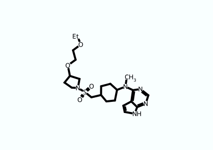 CCOCCOC1CCN(S(=O)(=O)CC2CCC(N(C)c3ncnc4[nH]ccc34)CC2)C1